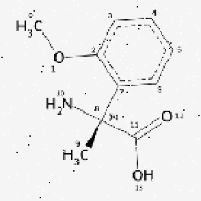 COc1ccccc1[C@@](C)(N)C(=O)O